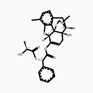 Cc1ccc2c3c1O[C@H]1C(OC(=O)[C@@H](OC(=O)[C@H](C)O)c4ccccc4)=CC[C@@]4(O)[C@@H](C2)N(C)CC[C@]314